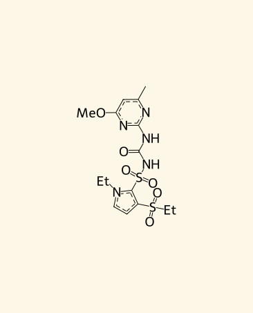 CCn1ccc(S(=O)(=O)CC)c1S(=O)(=O)NC(=O)Nc1nc(C)cc(OC)n1